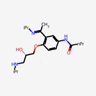 CCCC(=O)Nc1ccc(OC[C@@H](O)CNC(C)C)c(C(C)=NC(C)C)c1